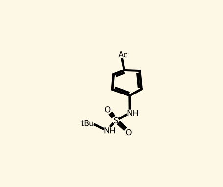 CC(=O)c1ccc(NS(=O)(=O)NC(C)(C)C)cc1